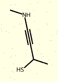 CNC#CC(C)S